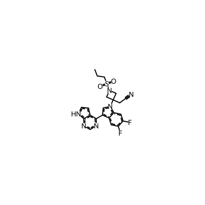 CCCS(=O)(=O)N1CC(CC#N)(n2cc(-c3ncnc4[nH]ccc34)c3cc(F)c(F)cc32)C1